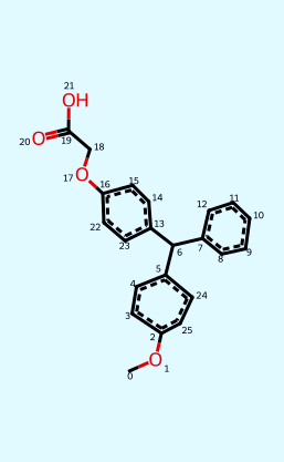 COc1ccc(C(c2ccccc2)c2ccc(OCC(=O)O)cc2)cc1